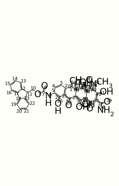 C[C@@H]1c2ccc(NC(=O)OCC3c4ccccc4-c4ccccc43)c(O)c2C(=O)C2=C(O)[C@@]3(O)C(=O)C(C(N)=O)=C(O)[C@H](N(C)C)[C@H]3[C@H](O)[C@H]21